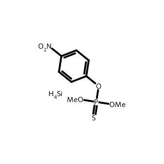 COP(=S)(OC)Oc1ccc([N+](=O)[O-])cc1.[SiH4]